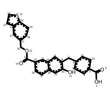 O=C(O)c1ccc(Cc2cc3cc(C(=O)OCc4ccc5sccc5c4)ccc3cc2O)cc1